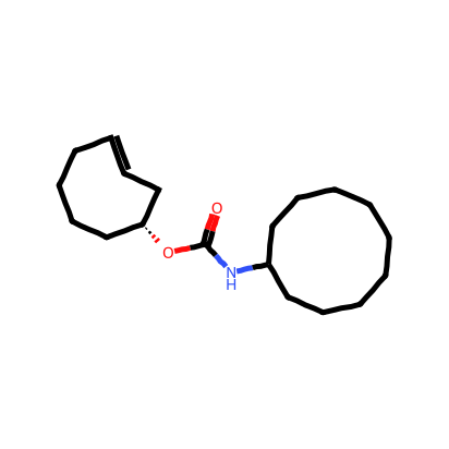 O=C(NC1CCCCCCCCC1)O[C@H]1C/C=C/CCCC1